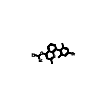 CCC(CC)Oc1cc(C)nc2c(-c3c(C)cc(Br)cc3C)cccc12